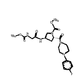 CC(C)(C)OC(=O)NCC(=O)N[C@@H]1C[C@@H](C(=O)N2CCN(c3ccc(F)cc3)CC2)N(C(=O)OC(C)(C)C)C1